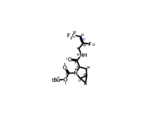 CC(C)(C)OC(=O)N1C(C(=O)NC/C(F)=C\C(F)(F)F)CC2CC21